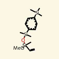 C=C[Si](C)(OC)O[Si](C)(C)c1ccc([Si](C)(C)C)cc1